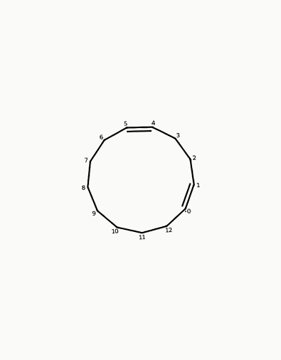 [C]1=CCCC=CCCCCCCC1